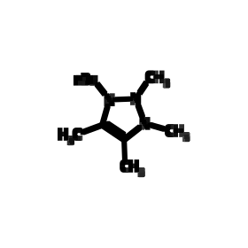 CCCCN1C(C)=C(C)N(C)N1C